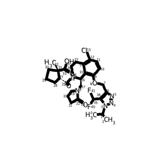 CC(C)n1nnc(COc2ccc(Cl)c3c2[C@@H](CN2CCCC2=O)N(C(=O)[C@@H]2CCC[C@]2(C)C(=O)O)CC3)c1C(F)F